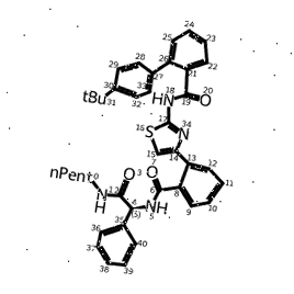 CCCCCNC(=O)[C@@H](NC(=O)c1ccccc1-c1csc(NC(=O)c2ccccc2-c2ccc(C(C)(C)C)cc2)n1)c1ccccc1